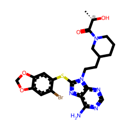 C[C@H](O)C(=O)N1CCCC(CCn2c(Sc3cc4c(cc3Br)OCO4)nc3c(N)ncnc32)C1